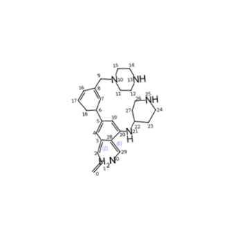 C=C/C=c1/cc(C2C=C(CN3CCNCC3)C=CC2)cc(NC2CCNCC2)/c1=C/N